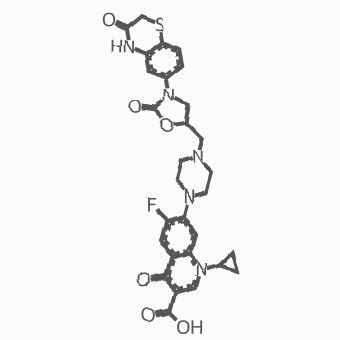 O=C1CSc2ccc(N3CC(CN4CCN(c5cc6c(cc5F)c(=O)c(C(=O)O)cn6C5CC5)CC4)OC3=O)cc2N1